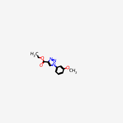 CCOC(=O)c1cn(-c2cccc(OC)c2)nn1